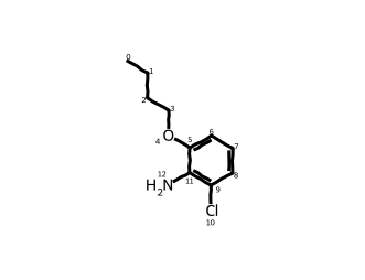 CCCCOc1cccc(Cl)c1N